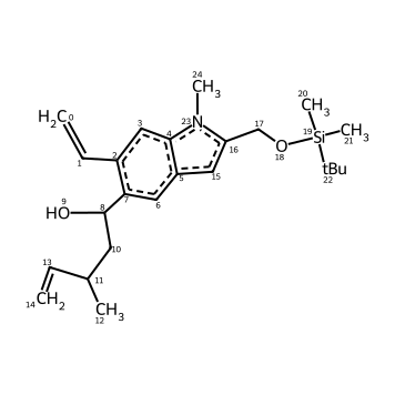 C=Cc1cc2c(cc1C(O)CC(C)C=C)cc(CO[Si](C)(C)C(C)(C)C)n2C